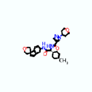 C[C@H]1CC[C@H](C(NC(=O)c2cnn(C3CCOCC3)c2)C(=O)Nc2ccc3c(c2)C=CC32CCOCC2)CC1